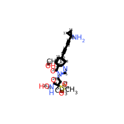 C[C@@](CCn1cnc2cc(C#CC#CC3(N)CC3)ccc2c1=O)(C(=O)NO)S(C)(=O)=O.O=CO